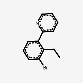 CCc1c(Br)cccc1-c1ccccn1